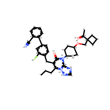 CCCc1c(Cc2ccc(-c3ccccc3C#N)cc2F)c(=O)n(C2CCC(OCC3(C(C)=O)CCC3)CC2)c2ncnn12